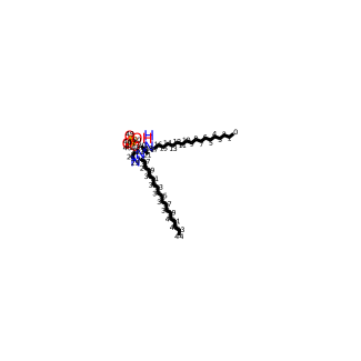 CCCCCCCCCCCCCCCCCCNC(C)(C)N1CCN=C1CCCCCCCCCCCCCCCCCC.COS(=O)(=O)O